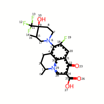 CC1CCc2c(N3CC[C@@](O)(C(F)(F)F)C(C)C3)c(F)cc3c(=O)c(C(=O)O)cn1c23